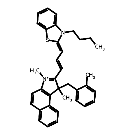 CCCCN1/C(=C/C=C/C2=[N+](C)c3ccc4ccccc4c3C2(C)Cc2ccccc2C)Sc2ccccc21